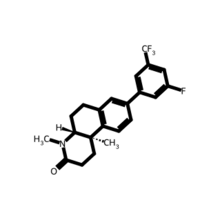 CN1C(=O)CC[C@]2(C)c3ccc(-c4cc(F)cc(C(F)(F)F)c4)cc3CC[C@@H]12